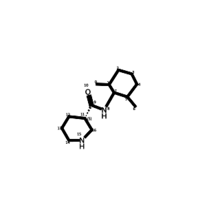 CC1CCCC(C)C1NC(=O)[C@H]1CCCNC1